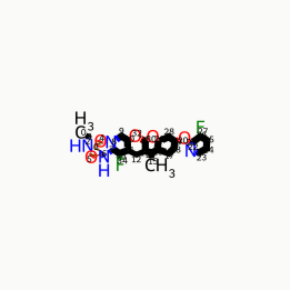 CCNS(=O)(=O)Nc1nccc(Cc2c(C)c3ccc(Oc4ncccc4F)cc3oc2=O)c1F